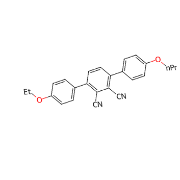 CCCOc1ccc(-c2ccc(-c3ccc(OCC)cc3)c(C#N)c2C#N)cc1